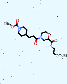 CCOC(=O)CCNC(=O)C1CN(C(=O)CCC2CCN(C(=O)OC(C)(C)C)CC2)CCO1